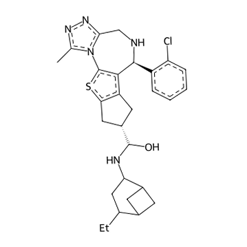 CCC1CC(NC(O)[C@@H]2Cc3sc4c(c3C2)[C@H](c2ccccc2Cl)NCc2nnc(C)n2-4)C2CC1C2